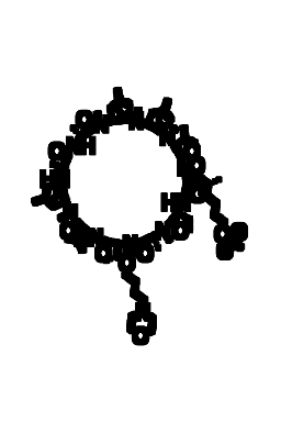 CC[C@@H]1NC(=O)[C@@H]2[C@@H]([C@H](C)CCCCOS(C)(=O)=O)ON2C(=O)[C@H](C(C)C)N(C)C(=O)[C@H](CC(C)C)N(C)C(=O)[C@H](CC(C)C)N(C)C(=O)[C@@H](C)NC(=O)[C@H](C)NC(=O)[C@H](CC(C)C)N(C)C(=O)[C@H](C(C)C)NC(=O)[C@H]([C@@H](C)OCCCCN2CCOCC2)N(C)C(=O)[C@@H](C)N(C)C1=O